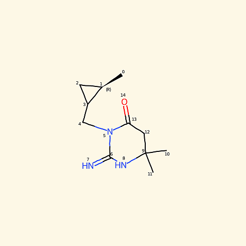 C[C@@H]1CC1CN1C(=N)NC(C)(C)CC1=O